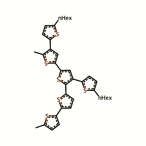 CCCCCCc1ccc(-c2cc(-c3cc(-c4ccc(CCCCCC)s4)c(-c4ccc(-c5ccc(C)s5)s4)s3)sc2C)s1